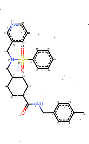 Cc1ccc(CNC(=O)C2CCC(CN(Cc3cccnc3)S(=O)(=O)c3ccccc3)CC2)cc1